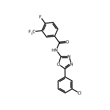 O=C(Nc1nnc(-c2cccc(Cl)c2)o1)c1ccc(F)c(C(F)(F)F)c1